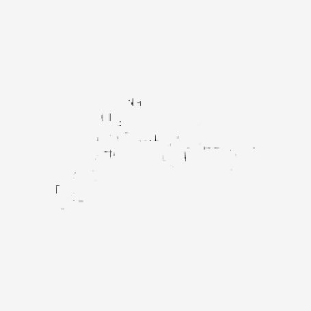 Cc1oc(-c2ccc(C(F)(F)F)cc2)nc1CCOc1cccc2c1CCCN2CCC(=O)[O-].[Na+]